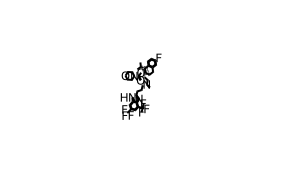 CC(C)[C@H]1c2ccc(F)cc2CC[C@@]1(CCN(C)CCCc1nc2c(C(F)(F)F)cc(C(F)(F)F)cc2[nH]1)OC(=O)N1CCOCC1